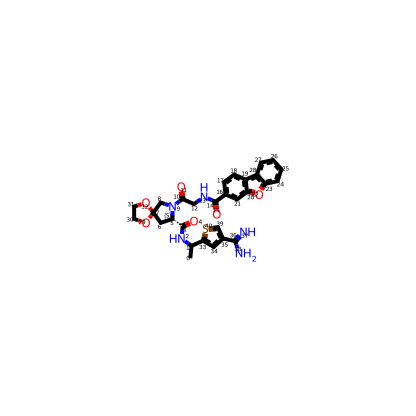 CC(NC(=O)[C@@H]1CC2(CN1C(=O)CNC(=O)c1ccc3c(c1)oc1ccccc13)OCCO2)c1cc(C(=N)N)cs1